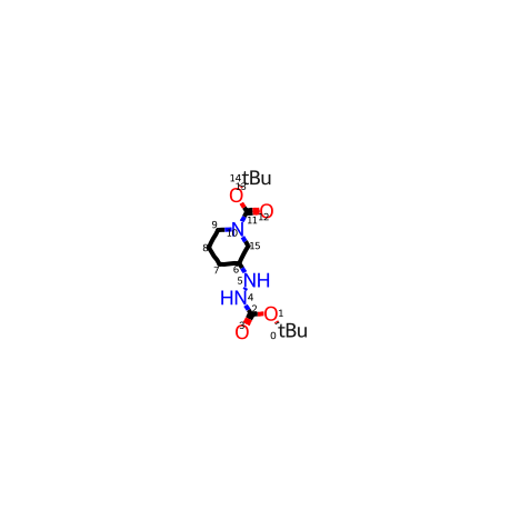 CC(C)(C)OC(=O)NNC1CCCN(C(=O)OC(C)(C)C)C1